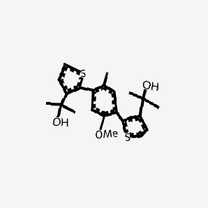 COc1cc(-c2sccc2C(C)(C)O)c(C)cc1-c1sccc1C(C)(C)O